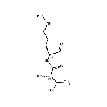 CC(C)[C@H](N)C(=O)N[C@H](C=O)CCCNN